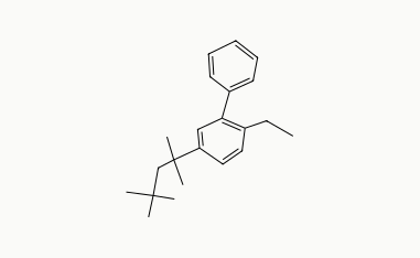 CCc1ccc(C(C)(C)CC(C)(C)C)cc1-c1ccccc1